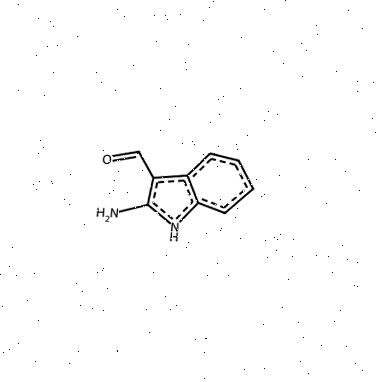 Nc1[nH]c2ccccc2c1C=O